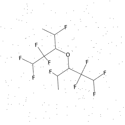 CC(F)C(OC(C(C)F)C(F)(F)C(F)F)C(F)(F)C(F)F